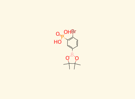 CC1(C)OB(c2ccc(Br)c(P(=O)(O)O)c2)OC1(C)C